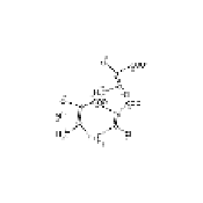 C/C(Cl)=C(\Cl)C(=O)[O-].C/C(Cl)=C(\Cl)C(=O)[O-].C/C(Cl)=C(\Cl)C(=O)[O-].[Al+3]